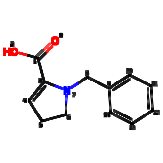 O=C(O)C1=CCCN1Cc1ccccc1